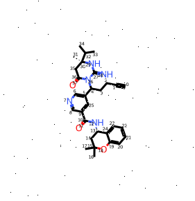 C#CCCC(c1cncc(C(=O)N[C@H]2CC(C)(C)Oc3ccccc32)c1)N1C(=N)N[C@](C)(C(C)C)CC1=O